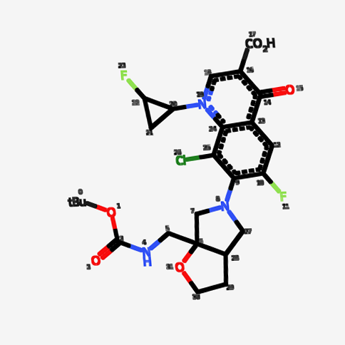 CC(C)(C)OC(=O)NCC12CN(c3c(F)cc4c(=O)c(C(=O)O)cn(C5CC5F)c4c3Cl)CC1CCO2